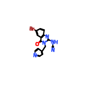 N#CNc1nc2ccc(Br)cc2c(=O)n1Cc1ccncc1